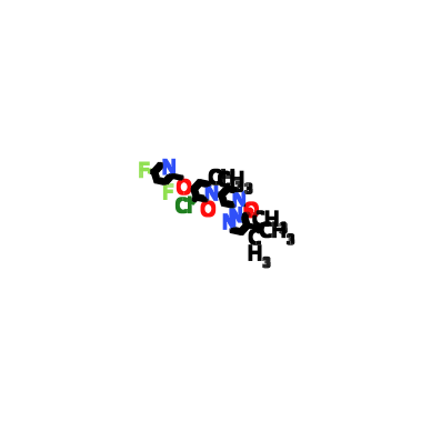 Cc1cnc(-n2nccc(C(C)(C)C)c2=O)cc1-n1c(C)cc(OCc2ncc(F)cc2F)c(Cl)c1=O